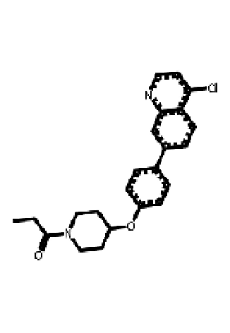 CCC(=O)N1CCC(Oc2ccc(-c3ccc4c(Cl)ccnc4c3)cc2)CC1